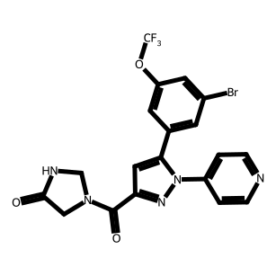 O=C1CN(C(=O)c2cc(-c3cc(Br)cc(OC(F)(F)F)c3)n(-c3ccncc3)n2)CN1